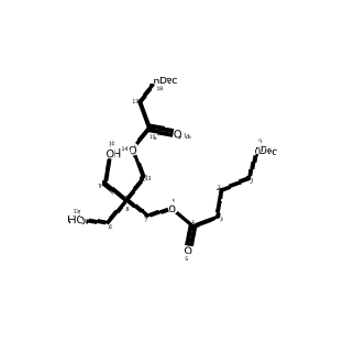 CCCCCCCCCCCCCC(=O)OCC(CO)(CO)COC(=O)CCCCCCCCCCC